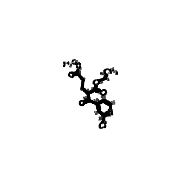 CCOC(=O)C(CCC(=O)OC)C(=O)c1ccnc(Cl)c1